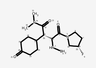 BNC(C(=O)N1CC[C@H](F)C1)[C@@H](C(=O)N(C)C)C1CCC(=O)CC1